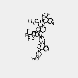 CCC[C@H]1N(C(=O)c2cnccc2C(F)(F)F)CCC[C@@]1(Oc1csc(C(F)(F)F)c1)C(=O)N1CCN(c2ccccc2C(=O)N2CCN(O)CC2)CC1